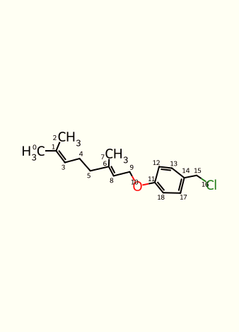 CC(C)=CCC/C(C)=C/COc1ccc(CCl)cc1